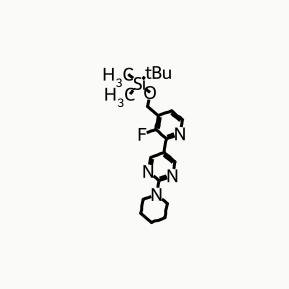 CC(C)(C)[Si](C)(C)OCc1ccnc(-c2cnc(N3CCCCC3)nc2)c1F